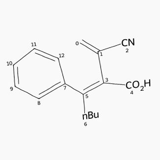 C=C(C#N)C(C(=O)O)=C(CCCC)c1ccccc1